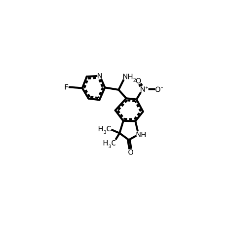 CC1(C)C(=O)Nc2cc([N+](=O)[O-])c(C(N)c3ccc(F)cn3)cc21